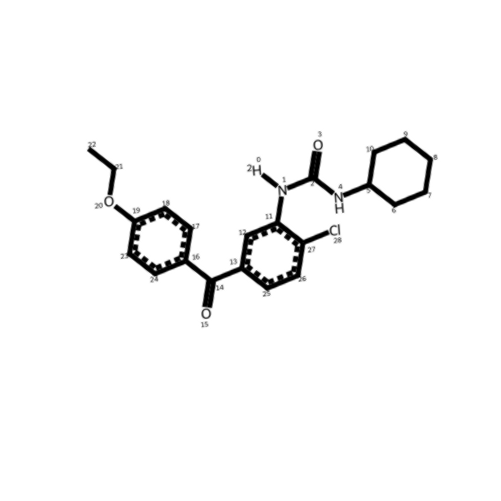 [2H]N(C(=O)NC1CCCCC1)c1cc(C(=O)c2ccc(OCC)cc2)ccc1Cl